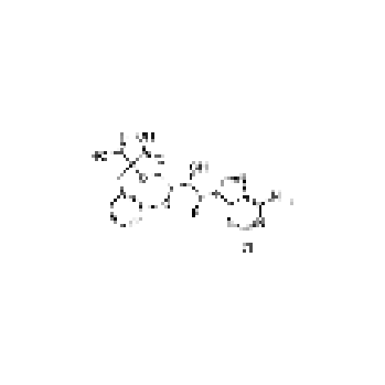 CO[C@H](COC(Cc1ccccc1)(C(=O)O)C(=O)O)[C@@H](O)[C@H](F)n1cnc2c(N)nc(Cl)nc21